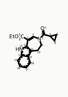 CCOC(=O)C1=CN(C(=O)C2CC2)CCc2c1[nH]c1ccccc21